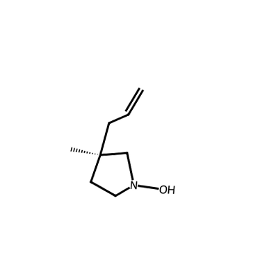 C=CC[C@]1(C)CCN(O)C1